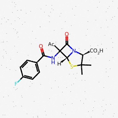 CC(=O)C1(NC(=O)c2ccc(F)cc2)C(=O)N2[C@@H](C(=O)O)C(C)(C)S[C@@H]21